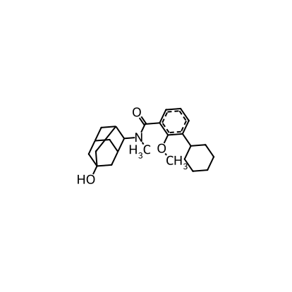 COc1c(C(=O)N(C)C2C3CC4CC2CC(O)(C4)C3)cccc1C1CCCCC1